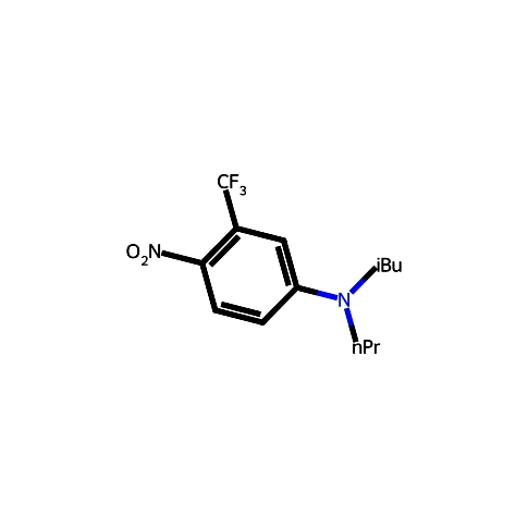 CCCN(c1ccc([N+](=O)[O-])c(C(F)(F)F)c1)C(C)CC